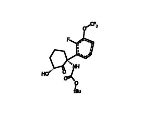 CC(C)(C)OC(=O)N[C@@]1(c2cccc(OC(F)(F)F)c2F)CCC[C@@H](O)C1=O